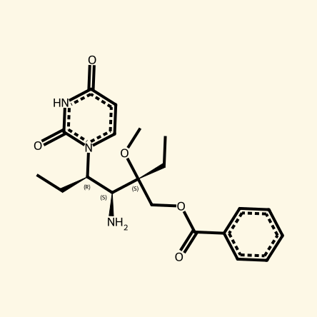 CC[C@H]([C@H](N)[C@@](CC)(COC(=O)c1ccccc1)OC)n1ccc(=O)[nH]c1=O